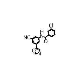 N#Cc1cc(NC(=O)c2cccc(Cl)c2)cc(-c2cnco2)c1